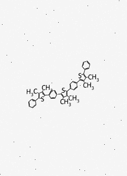 Cc1c(-c2ccccc2)sc(-c2ccc(-c3sc(-c4ccc(-c5sc(-c6ccccc6)c(C)c5C)cc4)c(C)c3C)cc2)c1C